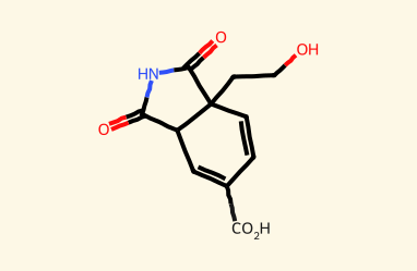 O=C(O)C1=CC2C(=O)NC(=O)C2(CCO)C=C1